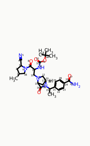 CC1CC(C#N)N(C(=O)C(CN2C[C@@H]3CC2C(=O)N3C(C)c2ccc(C(N)=O)cc2)NC(=O)OC(C)(C)C)C1